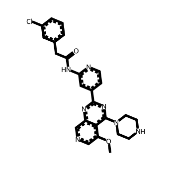 COc1cncc2nc(-c3ccnc(NC(=O)Cc4cccc(Cl)c4)c3)nc(N3CCNCC3)c12